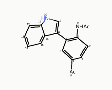 CC(=O)Nc1ccc(C(C)=O)cc1-c1c[nH]c2ccccc12